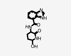 O=C(NC1CCC(O)NC1=O)c1cccc2nc[nH]c12